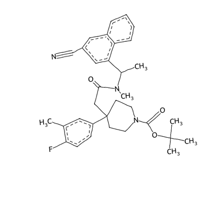 Cc1cc(C2(CC(=O)N(C)C(C)c3cc(C#N)cc4ccccc34)CCN(C(=O)OC(C)(C)C)CC2)ccc1F